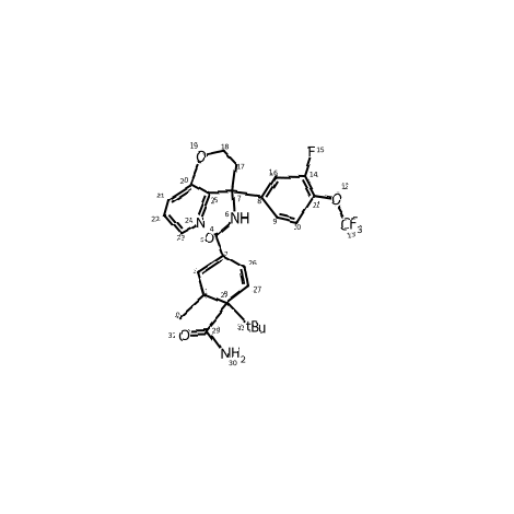 CC1C=C(C(=O)NC2(c3ccc(OC(F)(F)F)c(F)c3)CCOc3cccnc32)C=CC1(C(N)=O)C(C)(C)C